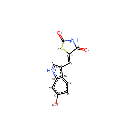 O=C1NC(=O)/C(=C/c2c[nH]c3cc(Br)ccc23)S1